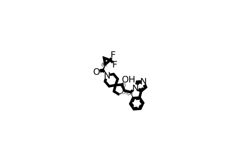 O=C([C@H]1CC1(F)F)N1CCC2(CC[C@@H]([C@H]3c4ccccc4-c4cncn43)[C@H]2O)CC1